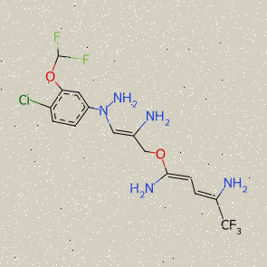 N/C(=C\N(N)c1ccc(Cl)c(OC(F)F)c1)CO/C(N)=C/C=C(\N)C(F)(F)F